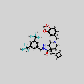 O=C(NCc1cc(C(F)(F)F)cc(C(F)(F)F)c1)C1(CC2CCC2)CCN(Cc2ccc3c(c2)OCO3)CC1